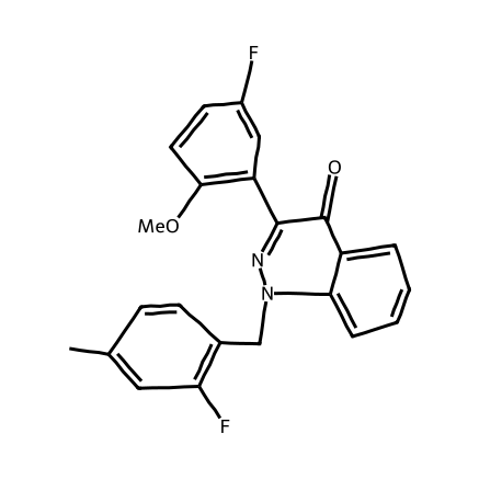 COc1ccc(F)cc1-c1nn(Cc2ccc(C)cc2F)c2ccccc2c1=O